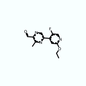 CCOc1cc(-c2cnc(C=O)c(C)n2)c(F)cn1